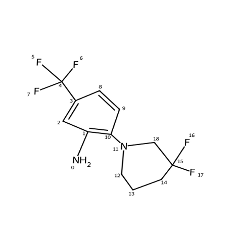 Nc1cc(C(F)(F)F)ccc1N1CCCC(F)(F)C1